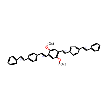 CCCCCCCCOc1cc(/C=C/c2ccc(/C=C/c3ccccc3)cc2)c(OCCCCCCCC)cc1/C=C/c1ccc(/C=C/c2ccccc2)cc1